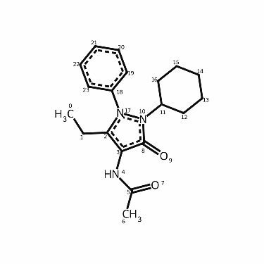 CCc1c(NC(C)=O)c(=O)n(C2CCCCC2)n1-c1ccccc1